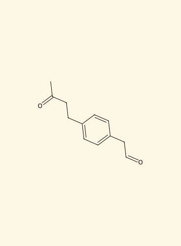 CC(=O)CCc1ccc(CC=O)cc1